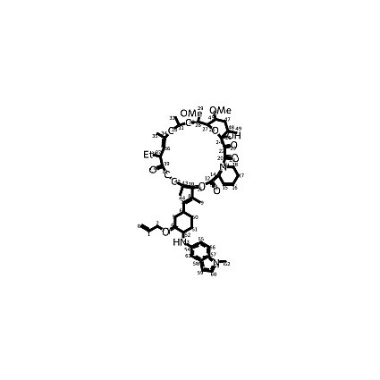 C=CCOC1CC(C=C(C)C2OC(=O)C3CCCCN3C(=O)C(=O)C3(O)OC(C(OC)CC(C)C/C(C)=C/C(CC)C(=O)CCC2C)C(OC)CC3C)CCC1Nc1ccc2c(ccn2C)c1